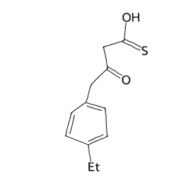 CCc1ccc(CC(=O)CC(O)=S)cc1